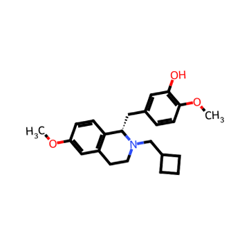 COc1ccc2c(c1)CCN(CC1CCC1)[C@H]2Cc1ccc(OC)c(O)c1